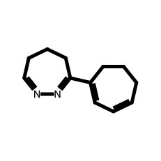 C1=CCCCC(C2=NN=CCCC2)=C1